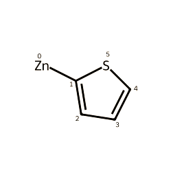 [Zn][c]1cccs1